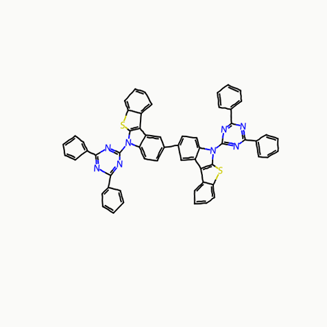 c1ccc(-c2nc(-c3ccccc3)nc(-n3c4ccc(-c5ccc6c(c5)c5c7ccccc7sc5n6-c5nc(-c6ccccc6)nc(-c6ccccc6)n5)cc4c4c5ccccc5sc43)n2)cc1